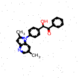 Cc1cnc2cc(C)n(-c3ccc(C(O)C(=O)c4ccccc4)cc3)c2c1